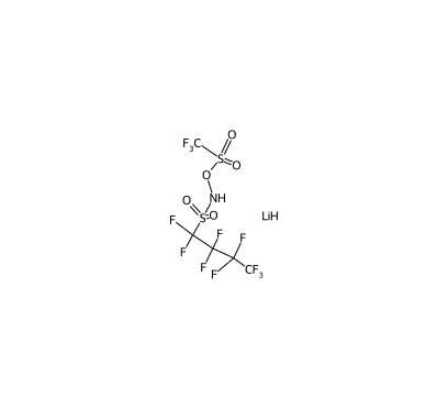 O=S(=O)(NOS(=O)(=O)C(F)(F)F)C(F)(F)C(F)(F)C(F)(F)C(F)(F)F.[LiH]